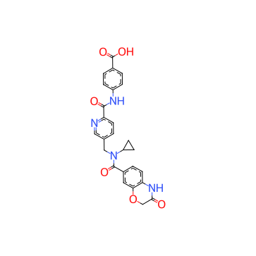 O=C1COc2cc(C(=O)N(Cc3ccc(C(=O)Nc4ccc(C(=O)O)cc4)nc3)C3CC3)ccc2N1